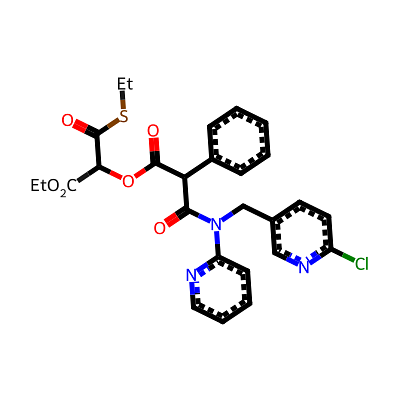 CCOC(=O)C(OC(=O)C(C(=O)N(Cc1ccc(Cl)nc1)c1ccccn1)c1ccccc1)C(=O)SCC